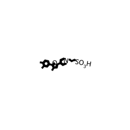 Cc1ccc(-c2oc(-c3cc[n+](CCCS(=O)(=O)O)cc3)cc2C)cc1C